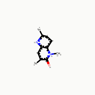 [2H]c1ccc2c(cc([2H])c(=O)n2C)n1